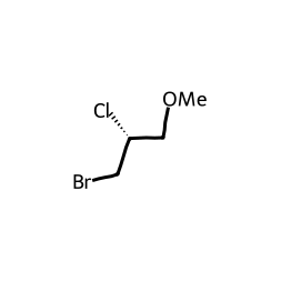 COC[C@@H](Cl)CBr